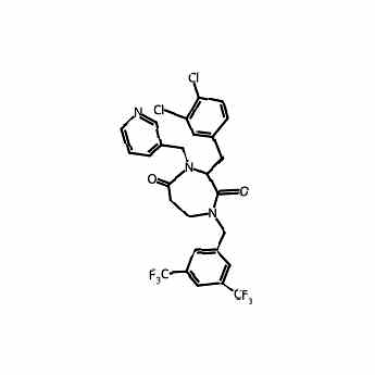 O=C1C(Cc2ccc(Cl)c(Cl)c2)N(Cc2cccnc2)C(=O)CCN1Cc1cc(C(F)(F)F)cc(C(F)(F)F)c1